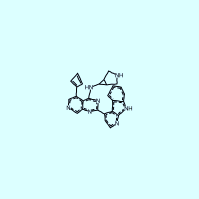 C1=CC(c2cncc3nc(-c4ccnc5[nH]c6ccccc6c45)nc(NC4C5CNCC54)c23)=C1